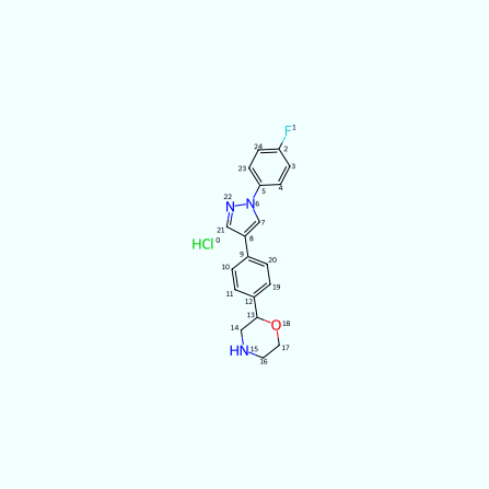 Cl.Fc1ccc(-n2cc(-c3ccc(C4CNCCO4)cc3)cn2)cc1